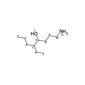 CCCC(CC)C(O)CCCN